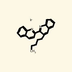 CCCCCc1cc2ccccc2nc1-c1ccc2ccccc2n1.[Ir]